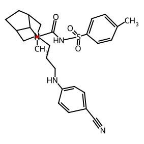 Cc1ccc(S(=O)(=O)NC(=O)N(C)C2C3CCC2CN(CCCNc2ccc(C#N)cc2)C3)cc1